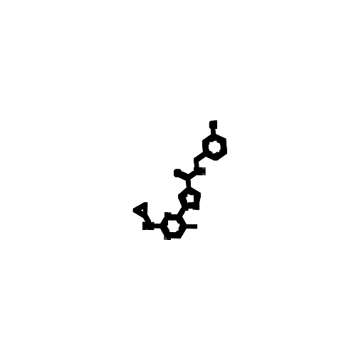 Cc1cnc(NC2CC2)nc1-n1cc(C(=O)NCc2cccc(Cl)c2)cn1